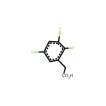 O=C(O)Cc1cc(F)cc(F)c1F